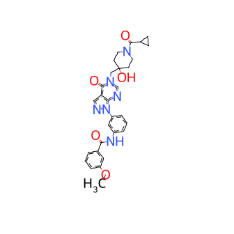 COc1cccc(C(=O)Nc2cccc(-n3ncc4c(=O)n(CC5(O)CCN(C(=O)C6CC6)CC5)cnc43)c2)c1